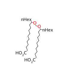 CCCCCCC(CCCCCCCCCCC(=O)O)OCOC(CCCCCC)CCCCCCCCCCC(=O)O